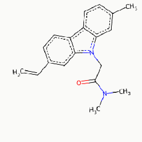 C=Cc1ccc2c3ccc(C)cc3n(CC(=O)N(C)C)c2c1